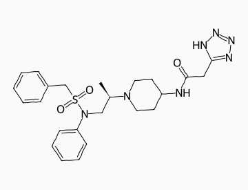 C[C@H](CN(c1ccccc1)S(=O)(=O)Cc1ccccc1)N1CCC(NC(=O)Cc2nnn[nH]2)CC1